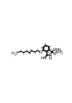 CCCCCCCCOc1cccc2c1C(=N)NC2(OC)OC